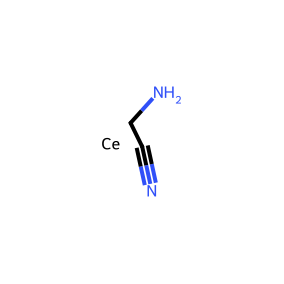 N#CCN.[Ce]